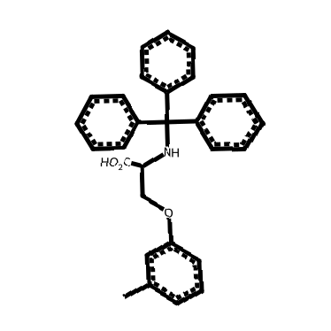 Cc1cccc(OCC(NC(c2ccccc2)(c2ccccc2)c2ccccc2)C(=O)O)c1